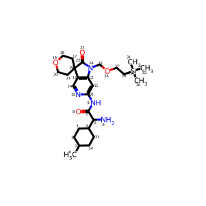 CC1CCC(C(N)C(=O)Nc2cc3c(cn2)C2(CCOCC2)C(=O)N3COCC[Si](C)(C)C)CC1